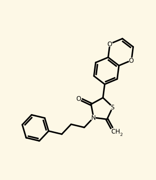 C=C1SC(c2ccc3c(c2)OC=CO3)C(=O)N1CCCc1ccccc1